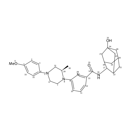 COc1ccc(N2CCN(c3cccc(C(=O)NC4C5CC6CC4CC(O)(C6)C5)n3)[C@H](C)C2)cc1